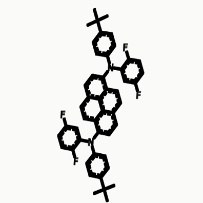 CC(C)(C)c1ccc(N(c2cc(F)ccc2F)c2ccc3ccc4c(N(c5ccc(C(C)(C)C)cc5)c5cc(F)ccc5F)ccc5ccc2c3c54)cc1